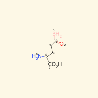 BC(=O)CCC(N)C(=O)O